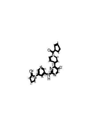 O=C(C1CCCC1)N1CCC(c2nc(Nc3cncc(N4CCCC4=O)c3)ncc2Cl)CC1